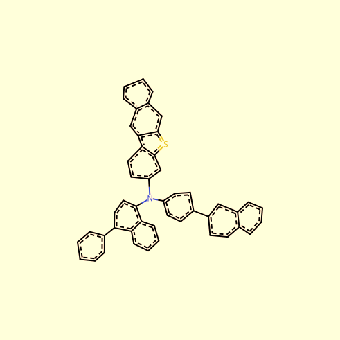 c1ccc(-c2ccc(N(c3ccc(-c4ccc5ccccc5c4)cc3)c3ccc4c(c3)sc3cc5ccccc5cc34)c3ccccc23)cc1